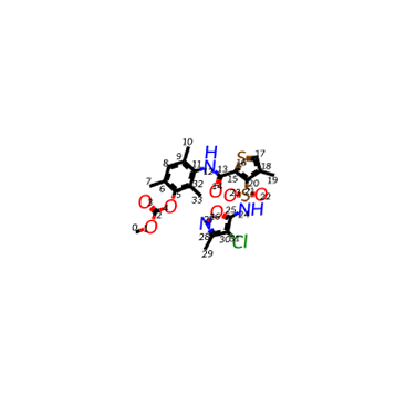 COC(=O)Oc1c(C)cc(C)c(NC(=O)c2scc(C)c2S(=O)(=O)Nc2onc(C)c2Cl)c1C